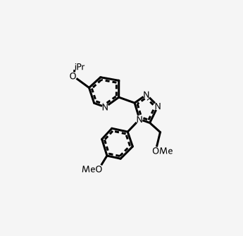 COCc1nnc(-c2ccc(OC(C)C)cn2)n1-c1ccc(OC)cc1